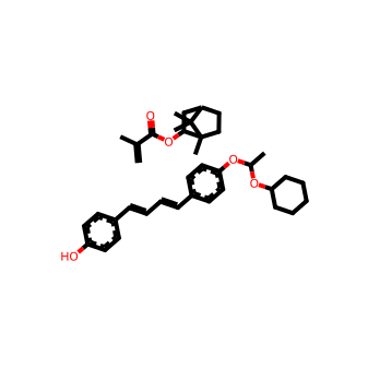 C=C(C)C(=O)OC1CC2CCC1(C)C2(C)C.CC(Oc1ccc(C=CC=Cc2ccc(O)cc2)cc1)OC1CCCCC1